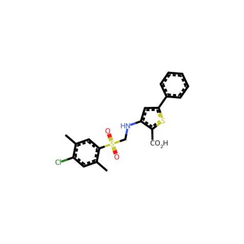 Cc1cc(S(=O)(=O)CNc2cc(-c3ccccc3)sc2C(=O)O)c(C)cc1Cl